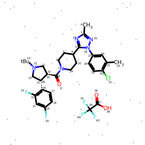 Cc1nc(C2CCN(C(=O)[C@@H]3CN(C(C)(C)C)C[C@H]3c3ccc(F)cc3F)CC2)n(-c2ccc(Cl)c(C)c2)n1.O=C(O)C(F)(F)F